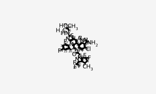 C[C@H]1CC(F)(F)c2c1c(C(F)(F)F)nn2CC(=O)N[C@@H](Cc1cc(F)cc(F)c1)c1nc2nc(NCC(C)(C)O)sc2cc1-c1ccc(Cl)c2c(N)nn(C)c12